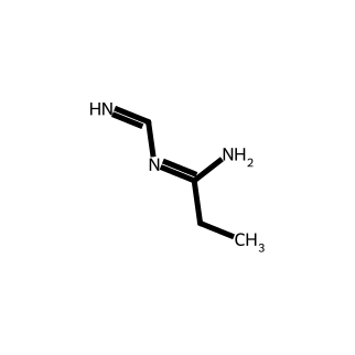 CC/C(N)=N/C=N